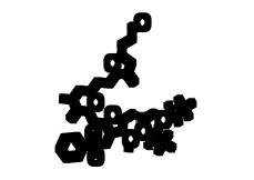 C=C1CC(CCC=O)OC1CCC1CC(C)C(=C)C(CC2OC(C[C@@H](CO[Si](C)(C)C(C)(C)C)O[Si](C)(C)C(C)(C)C)C(OC)C2CS(=O)(=O)c2ccccc2)O1